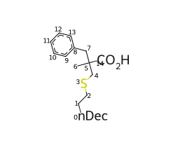 CCCCCCCCCCCCSCC(C)(Cc1ccccc1)C(=O)O